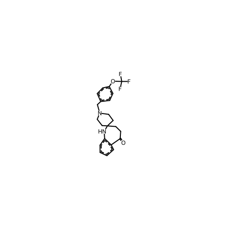 O=C1CCC2(CCN(Cc3ccc(OC(F)(F)F)cc3)CC2)Nc2ccccc21